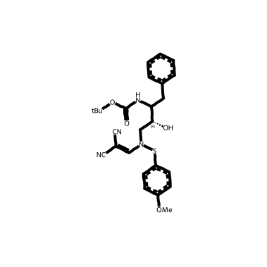 COc1ccc(SN(C=C(C#N)C#N)C[C@@H](O)C(Cc2ccccc2)NC(=O)OC(C)(C)C)cc1